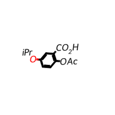 CC(=O)Oc1ccc(OC(C)C)cc1C(=O)O